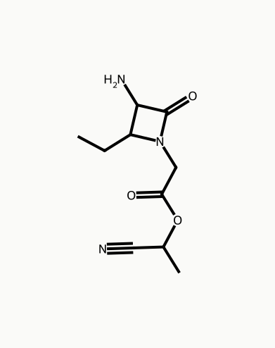 CCC1C(N)C(=O)N1CC(=O)OC(C)C#N